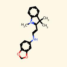 C[N+]1=C(C=CNc2ccc3c(c2)OCO3)C(C)(C)c2ccccc21